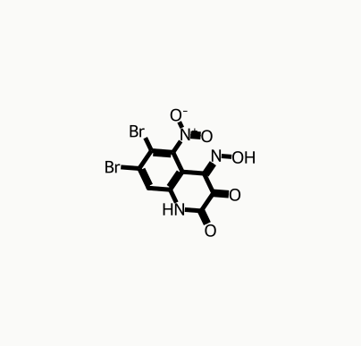 O=C1Nc2cc(Br)c(Br)c([N+](=O)[O-])c2/C(=N/O)C1=O